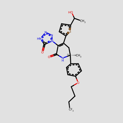 CC(O)c1ccc(C2=C(n3nn[nH]c3=O)C(=O)N[C@](C)(c3ccc(OCCCC(F)(F)F)cc3)C2)s1